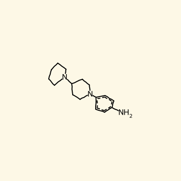 Nc1ccc(N2CCC(N3CCCCC3)CC2)cc1